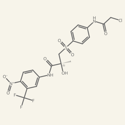 C[C@@](O)(CS(=O)(=O)c1ccc(NC(=O)CCl)cc1)C(=O)Nc1ccc([N+](=O)[O-])c(C(F)(F)F)c1